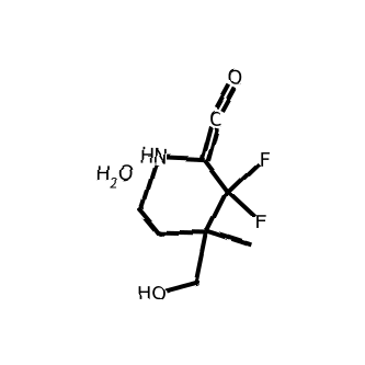 CC1(CO)CCNC(=C=O)C1(F)F.O